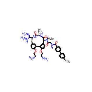 CCCCc1ccc(-c2ccc(C(=O)NCC(=O)N(NC)C3C(=O)N[C@@H](C)C(=O)NC(/C(=N/N)NN)Cc4ccc(OCCN)c(c4)-c4cc3ccc4OCCN)cc2)cc1